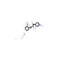 CCNCCOc1ccc(C=O)c(C(C)(C)c2[nH]c3cc(N)ccc3c2C)c1